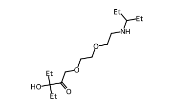 CCC(CC)NCCOCCOCC(=O)C(O)(CC)CC